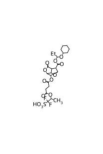 CCC(OC(=O)C1C2OC3C(OC(=O)C31)C2OC(=O)CCC(=O)OC(C)C(F)(F)S(=O)(=O)O)OC1CCCCC1